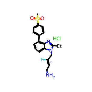 CCc1nc2c(-c3ccc(S(C)(=O)=O)cc3)cccc2n1C/C(F)=C/CN.Cl